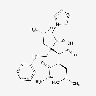 CC(C)C[C@@H](C(=O)NN)[C@H](C(=O)O)C(CNc1ccccc1)(CC(C)C)C(=O)Cn1ccnc1